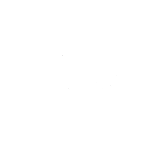 O=C1N(Cc2cnc3cc4c(cc3c2)C[C@@]2(C4)C(=O)Nc3ncccc32)[C@H](c2cc(F)cc(F)c2)CCC12CCCC2